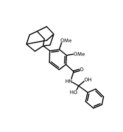 COc1c(C(=O)NC(O)(O)c2ccccc2)ccc(C23CC4CC(CC(C4)C2)C3)c1OC